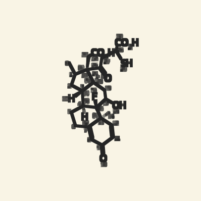 CC1C[C@H]2[C@@H]3CCC4=CC(=O)C=C[C@]4(C)[C@@]3(F)C(O)C[C@]2(C)[C@@]1(CC(=O)O)C(=O)CC(S)C(=O)O